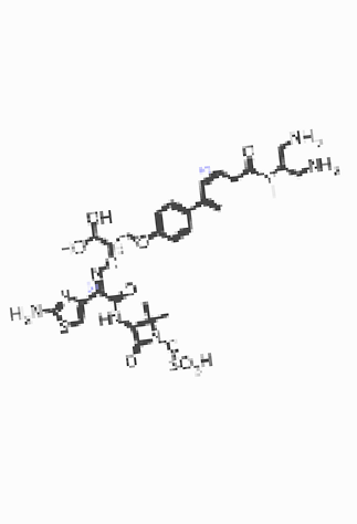 C=C(/C=C\CC(=O)NC(CN)CN)c1ccc(OC[C@H](O/N=C(\C(=O)NC2C(=O)N(OS(=O)(=O)O)C2(C)C)c2csc(N)n2)C(O)O)cc1